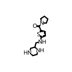 O=C(c1ccc(NCC2CNCCN2)s1)N1CCCC1